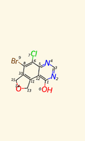 Oc1ncnc2c(Cl)c(Br)c3c(c12)COC3